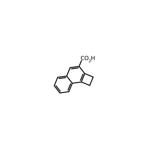 O=C(O)c1cc2ccccc2c2c1CC2